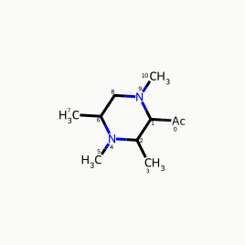 CC(=O)C1C(C)N(C)C(C)CN1C